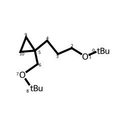 CC(C)(C)OCCCC1(COC(C)(C)C)CC1